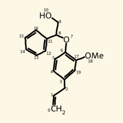 C=CCc1ccc(OC(CO)c2ccccc2)c(OC)c1